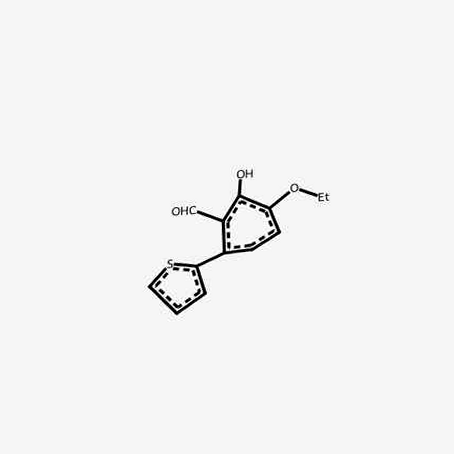 CCOc1ccc(-c2cccs2)c(C=O)c1O